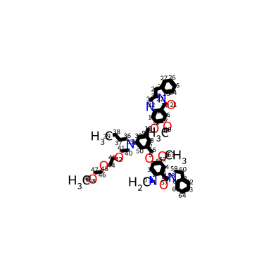 C=Nc1cc(OCc2cc(COc3cc4c(cc3OC)C(=O)N3c5ccccc5CC3C=N4)cc(N(CCCC)CCOCCOCCOC)c2)c(OC)cc1C(=O)N1CCc2ccccc21